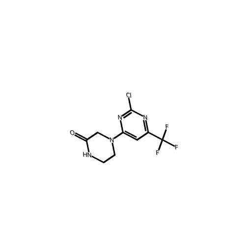 O=C1CN(c2cc(C(F)(F)F)nc(Cl)n2)CCN1